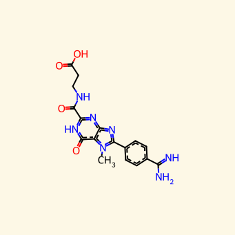 Cn1c(-c2ccc(C(=N)N)cc2)nc2nc(C(=O)NCCC(=O)O)[nH]c(=O)c21